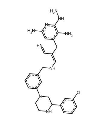 N=C/C(=C\NCc1cccc(N2CCNC(c3cccc(Cl)c3)C2)c1)Cc1cc(N)nc(NN)c1N